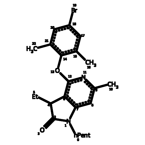 CCCCCN1C(=O)C(CC)c2c1cc(C)nc2Oc1c(C)cc(Br)cc1C